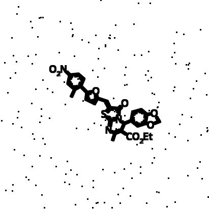 CCOC(=O)C1=C(C)N=c2s/c(=C\c3ccc(-c4ccc([N+](=O)[O-])cc4C)o3)c(=O)n2C1c1ccc2c(c1)OCO2